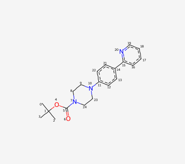 CC(C)(C)OC(=O)N1CCN(c2ccc(-c3ccccn3)cc2)CC1